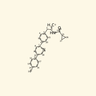 CC(Cc1ccc(-c2ccc(-c3ccc(F)cc3)cn2)cc1)NC(=O)C1CC1